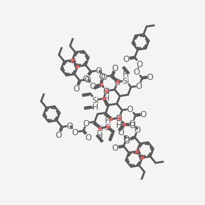 C=C[SiH](C=C)C(CC(C(C(C(CC(OC(=O)OOC(=O)c1ccc(CC)cc1)[SiH](C=C)C=C)C(OC(=O)OOC(=O)c1ccc(CC)cc1)[SiH](C=C)C=C)C(OC(=O)OOC(=O)c1ccc(CC)cc1)[SiH](C=C)C=C)C(OC(=O)OOC(=O)c1ccc(CC)cc1)[SiH](C=C)C=C)C(OC(=O)OOC(=O)c1ccc(CC)cc1)[SiH](C=C)C=C)OC(=O)OOC(=O)c1ccc(CC)cc1